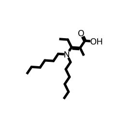 CCCCCCN(CCCCCC)/C(CC)=C(\C)C(=O)O